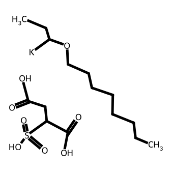 CCCCCCCCO[CH]([K])CC.O=C(O)CC(C(=O)O)S(=O)(=O)O